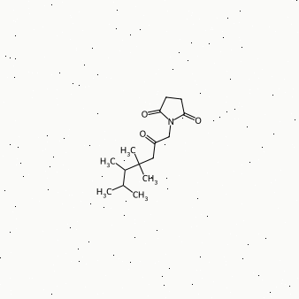 CC(C)C(C)C(C)(C)CC(=O)CN1C(=O)CCC1=O